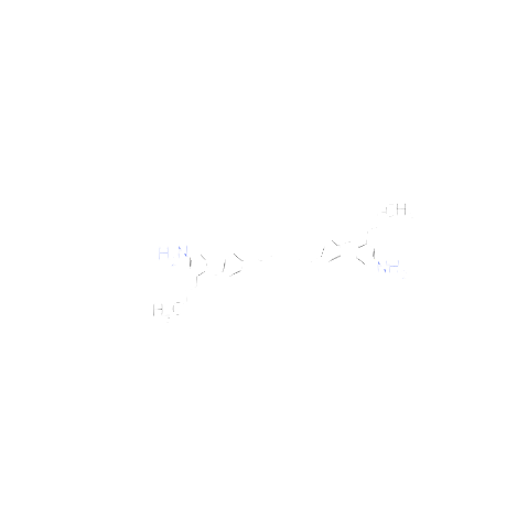 CCCCc1cc(N)ccc1Cc1ccc(CCCCCCCCc2ccc(Cc3ccc(N)cc3CCCC)cc2)cc1